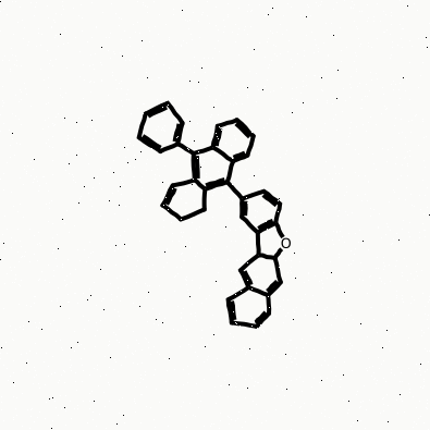 C1=Cc2c(c(-c3ccc4c(c3)C3C=c5ccccc5=CC3O4)c3ccccc3c2-c2ccccc2)CC1